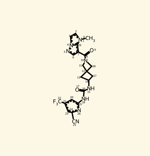 Cn1ccn2ncc(C(=O)N3CC4(CC(NC(=O)Nc5cc(C(F)(F)F)cc(C#N)n5)C4)C3)c12